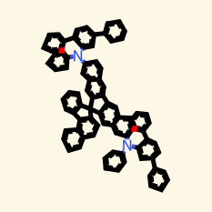 c1ccc(-c2ccc(-c3ccccc3)c(N(c3ccccc3)c3ccc4cc5c(cc4c3)C3(c4cc6cc(N(c7ccccc7)c7cc(-c8ccccc8)ccc7-c7ccccc7)ccc6cc4-5)c4ccccc4-c4c3ccc3ccccc43)c2)cc1